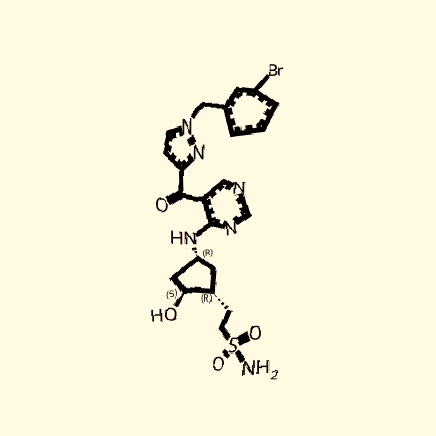 NS(=O)(=O)CC[C@H]1C[C@@H](Nc2ncncc2C(=O)c2ccn(Cc3cccc(Br)c3)n2)C[C@@H]1O